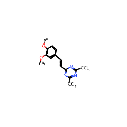 CCCOc1ccc(C=Cc2nc(C(Cl)(Cl)Cl)nc(C(Cl)(Cl)Cl)n2)cc1OCCC